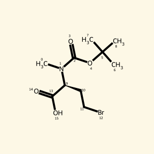 CN(C(=O)OC(C)(C)C)[C@@H](CCBr)C(=O)O